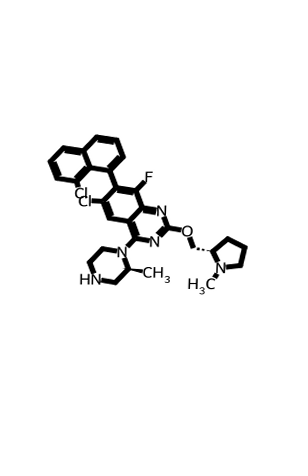 C[C@H]1CNCCN1c1nc(OC[C@@H]2CCCN2C)nc2c(F)c(-c3cccc4cccc(Cl)c34)c(Cl)cc12